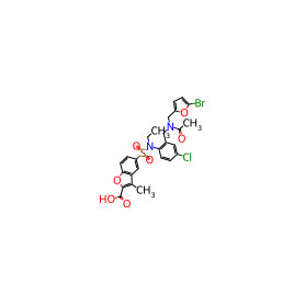 CCN(c1ccc(Cl)cc1CN(Cc1ccc(Br)o1)C(C)=O)S(=O)(=O)c1ccc2oc(C(=O)O)c(C)c2c1